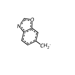 [CH2]c1ccc2ncoc2c1